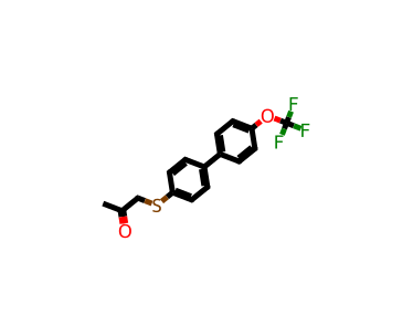 CC(=O)CSc1ccc(-c2ccc(OC(F)(F)F)cc2)cc1